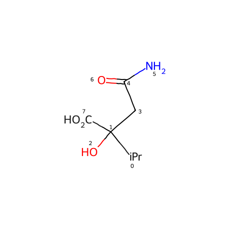 CC(C)C(O)(CC(N)=O)C(=O)O